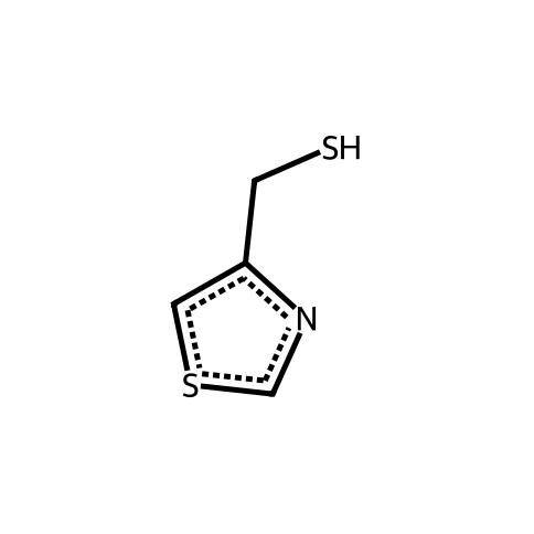 SCc1cscn1